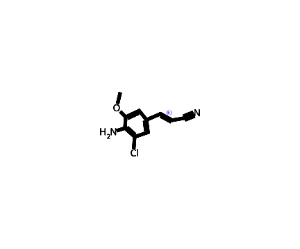 COc1cc(/C=C/C#N)cc(Cl)c1N